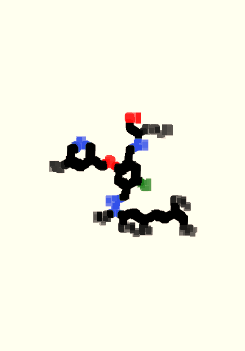 CCC\C=C(C)/C=C/C(=C/C(C)N(C)NCc1cc(OCc2cncc(C#N)c2)c(CN[C@@H](CO)C(=O)O)cc1Cl)CC